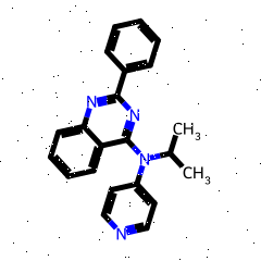 CC(C)N(c1ccncc1)c1nc(-c2ccccc2)nc2ccccc12